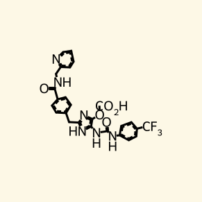 O=C(Nc1ccc(C(F)(F)F)cc1)Nc1[nH]c(Cc2ccc(C(=O)NCc3ccccn3)cc2)nc1OC(=O)O